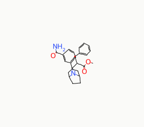 COC(=O)C(Cc1ccccc1)CN1C2CCC1CC(c1cccc(C(N)=O)c1)C2